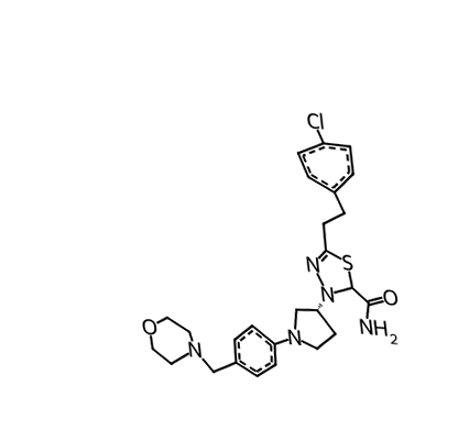 NC(=O)C1SC(CCc2ccc(Cl)cc2)=NN1[C@@H]1CCN(c2ccc(CN3CCOCC3)cc2)C1